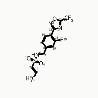 C/C=C/S(=O)(=O)NCc1ccc(-c2noc(C(F)(F)F)n2)c(F)c1